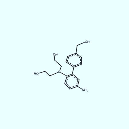 Nc1ccc(N(CCO)CCO)c(-c2ccc(CO)cc2)c1